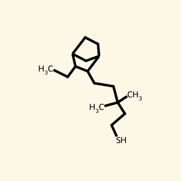 CCC1C2CCC(C2)C1CCC(C)(C)CCS